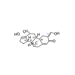 C[C@]12CC[C@H]3[C@@H](CCC4=CC(=O)/C(=C\O)C[C@@]43C)[C@@H]1CC[C@@H]2O